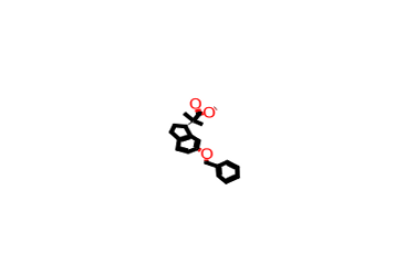 COC(=O)C(C)(C)[C@H]1CCc2ccc(OCc3ccccc3)cc21